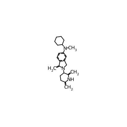 C=C1CCC(N2Cc3cc(N(C)C4CCCCC4)ccc3C2=C)C(=C)N1